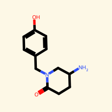 NC1CCC(=O)N(Cc2ccc(O)cc2)C1